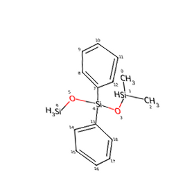 C[SiH](C)O[Si](O[SiH3])(c1ccccc1)c1ccccc1